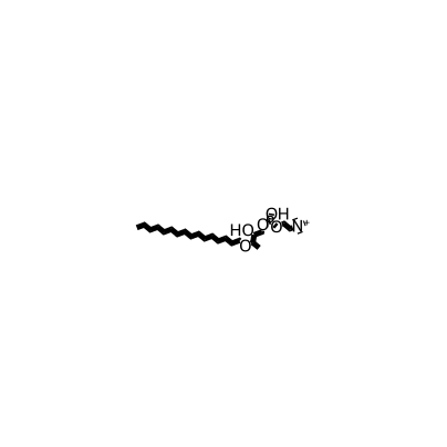 CCCCCCCCCCCCCCCCOC(C)C(O)COP(O)OCC[N+](C)(C)C